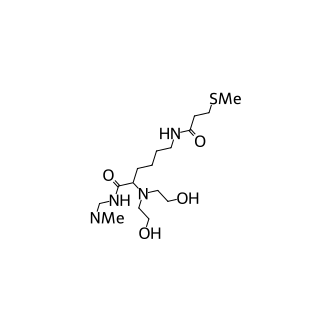 CNCNC(=O)C(CCCCNC(=O)CCSC)N(CCO)CCO